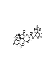 CC(=O)c1cccc(C2(c3nc4c(c(=O)[nH]3)CN(C(=O)Cc3cccc(C(F)(F)F)c3)CCC4)CC2)c1